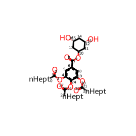 CCCCCCCC(=O)Oc1cc(C(=O)OC2C[C@@H](O)C[C@@H](O)C2)cc(OC(=O)CCCCCCC)c1OC(=O)CCCCCCC